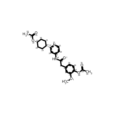 COc1cc(CC(=O)Nc2ccnc([C@H]3CC[C@@H](OC(C)=O)CC3)c2)ccc1OC(C)=O